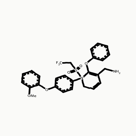 COc1ccccc1Oc1ccc([N+]2(S(=O)(=O)CC(F)(F)F)CC=CC(CN)=C2Oc2ccccc2)cc1